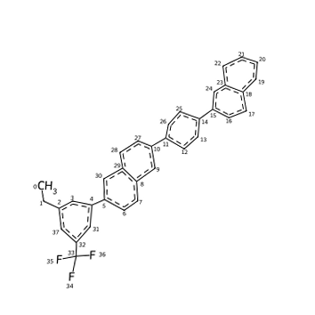 CCc1cc(-c2ccc3cc(-c4ccc(-c5ccc6ccccc6c5)cc4)ccc3c2)cc(C(F)(F)F)c1